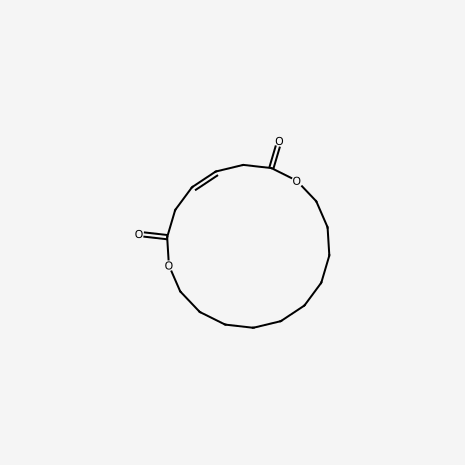 O=C1C/C=C\CC(=O)OCCCCCCCCCCO1